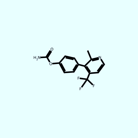 Cc1nccc(C(F)(F)F)c1-c1ccc(OC(N)=O)cc1